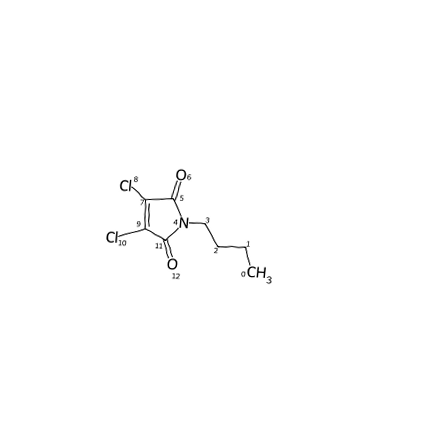 CCCCN1C(=O)C(Cl)=C(Cl)C1=O